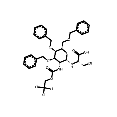 O=C(N[C@@H]1[C@@H](OCc2ccccc2)[C@@H](OCc2ccccc2)[C@@H](COCc2ccccc2)O[C@@H]1N[C@@H](CO)C(=O)O)OCC(Cl)(Cl)Cl